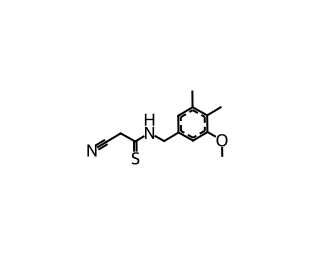 COc1cc(CNC(=S)CC#N)cc(C)c1C